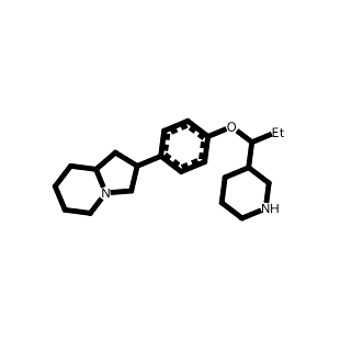 CCC(Oc1ccc(C2CC3CCCCN3C2)cc1)C1CCCNC1